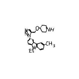 CCn1c2ccc(C)cc2c2cc(-n3nncc3COC3CCNCC3)ccc21